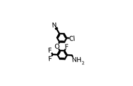 N#Cc1cc(Cl)cc(Oc2c(C(F)F)ccc(CN)c2F)c1